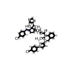 CC1(C)CC/C(=C\c2ccc(Cl)cc2)C1(O)Cn1cncn1.COC(=O)N(OC)c1ccccc1COc1ccn(-c2ccc(Cl)cc2)n1